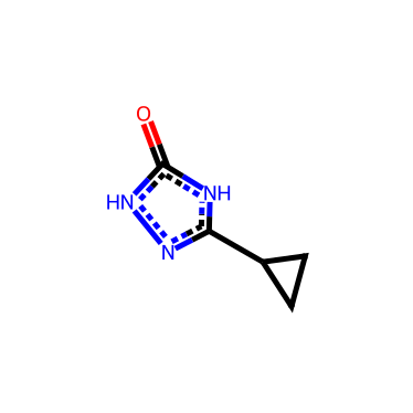 O=c1[nH]nc(C2CC2)[nH]1